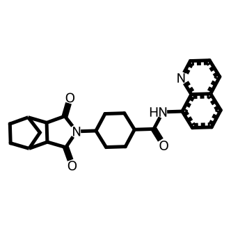 O=C(Nc1cccc2cccnc12)C1CCC(N2C(=O)C3C4CCC(C4)C3C2=O)CC1